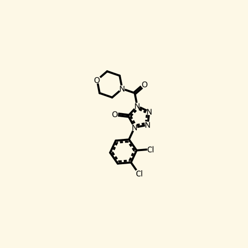 O=C(N1CCOCC1)n1nnn(-c2cccc(Cl)c2Cl)c1=O